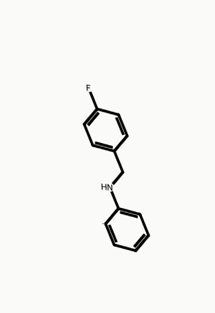 Fc1ccc(CNc2[c]cccc2)cc1